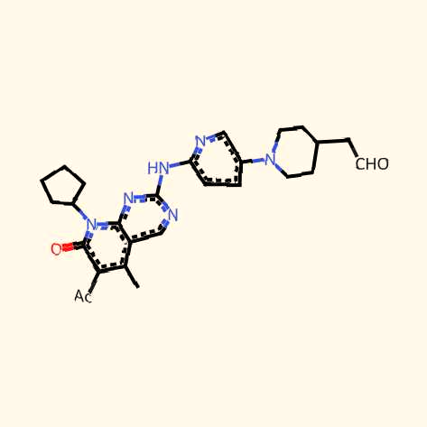 CC(=O)c1c(C)c2cnc(Nc3ccc(N4CCC(CC=O)CC4)cn3)nc2n(C2CCCC2)c1=O